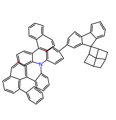 c1ccc(-c2cccc3cccc(-c4ccccc4N(c4ccc(-c5ccc6c(c5)C5(c7ccccc7-6)C6CC7CC8CC5C786)cc4)c4ccccc4-c4cccc5ccccc45)c23)cc1